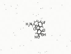 NC[C@H]1CCc2cc(F)cc(-c3c(Cl)cc(O)c(O)c3Cl)c2O1